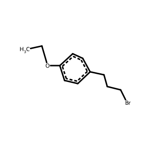 CCOc1ccc(CCCBr)cc1